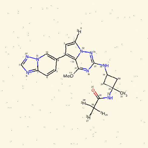 [2H]c1cc(-c2ccc3ncnn3c2)c2c(OC)nc(NC3CC(C)(NC(=O)C([2H])([2H])[2H])C3)nn12